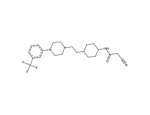 N#CCC(=O)NC1CCC(CCN2CCN(c3cccc(C(F)(F)F)c3)CC2)CC1